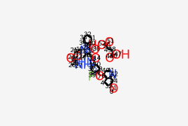 COc1ccc2c(Oc3ccc(NC(=O)c4c(C)n(C[C@@H](C)OC(=O)[C@H](C)N)n(-c5ccccc5)c4=O)cc3F)ccnc2c1.O=C(O)CCC(=O)O